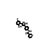 O=C(Nc1ccc(-c2cc(-c3cc(F)ccc3O)n[nH]2)cc1)c1cccnc1